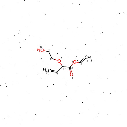 C=COC(=O)C(C=C)OCCO